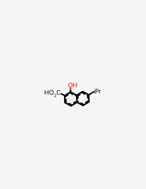 CC(C)c1ccc2ccc(C(=O)O)c(O)c2c1